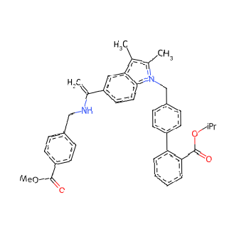 C=C(NCc1ccc(C(=O)OC)cc1)c1ccc2c(c1)c(C)c(C)n2Cc1ccc(-c2ccccc2C(=O)OC(C)C)cc1